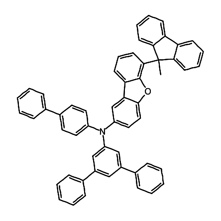 CC1(c2cccc3c2oc2ccc(N(c4ccc(-c5ccccc5)cc4)c4cc(-c5ccccc5)cc(-c5ccccc5)c4)cc23)c2ccccc2-c2ccccc21